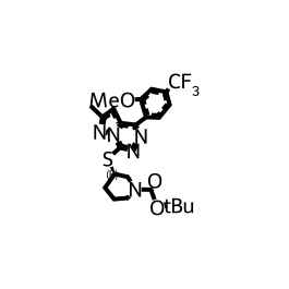 COc1cc(C(F)(F)F)ccc1-c1nnc(S[C@@H]2CCCN(C(=O)OC(C)(C)C)C2)n2nc(C)cc12